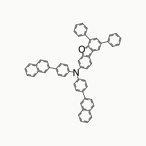 c1ccc(-c2cc(-c3ccccc3)c3oc4cc(N(c5ccc(-c6ccc7ccccc7c6)cc5)c5ccc(-c6ccc7ccccc7c6)cc5)ccc4c3c2)cc1